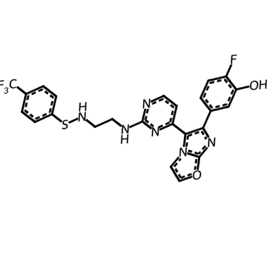 Oc1cc(-c2nc3occn3c2-c2ccnc(NCCNSc3ccc(C(F)(F)F)cc3)n2)ccc1F